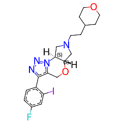 Fc1ccc(-c2nnn3c2CO[C@H]2CN(CCC4CCOCC4)C[C@@H]23)c(I)c1